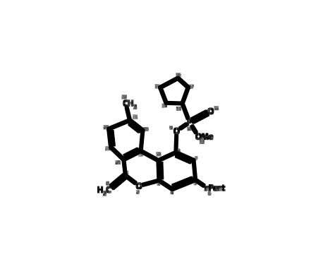 C=C1Oc2cc(CCCCC)cc(OP(=O)(OC)C3CCCC3)c2-c2cc(C)ccc21